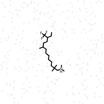 CCC(CCC(C)CCCCCCC(C)(C)C[SiH](C)C)C(F)(F)F